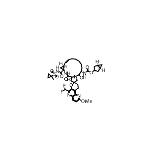 COc1ccc2nc(C(F)F)c3c(c2n1)CC[C@]1(C[C@H]2C(=O)N[C@]4(C(=O)NS(=O)(=O)C5(C)CC5)C[C@H]4/C=C\CCCCC[C@H](NC(=O)O[C@@H]4C[C@@H]5C[C@@H]5C4)C(=O)N2C1)O3